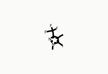 Cc1c(C(F)(F)F)nn(C)c1I